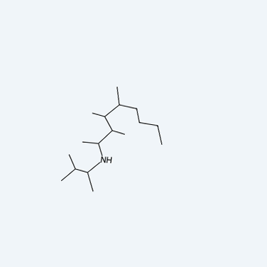 CCCCC(C)C(C)C(C)C(C)NC(C)C(C)C